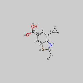 CCc1nc2c(C3CC3)cc(C(=O)O)cc2s1